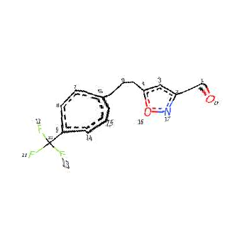 O=Cc1cc(Cc2ccc(C(F)(F)F)cc2)on1